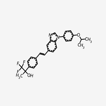 CC(C)Oc1ccc(-n2cnc3cc(C=Cc4ccc(C(C)(O)C(F)(F)F)cc4)ccc32)cc1